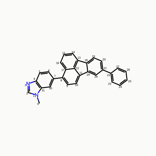 Cn1cnc2ccc(-c3ccc4c5c(cccc35)-c3ccc(-c5ccccc5)cc3-4)cc21